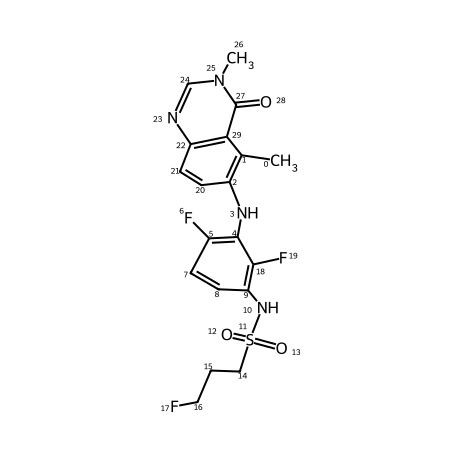 Cc1c(Nc2c(F)ccc(NS(=O)(=O)CCCF)c2F)ccc2ncn(C)c(=O)c12